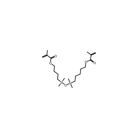 C=C(C)C(=O)OCCCCC[Si](C)(C)O[Si](C)(C)CCCCOC(=O)C(=C)C